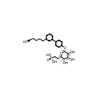 C#CCCCCc1cccc(-c2ccc(O[C@H]3O[C@H](CCP(=O)(O)O)[C@@H](O)[C@H](O)[C@@H]3O)cc2)c1